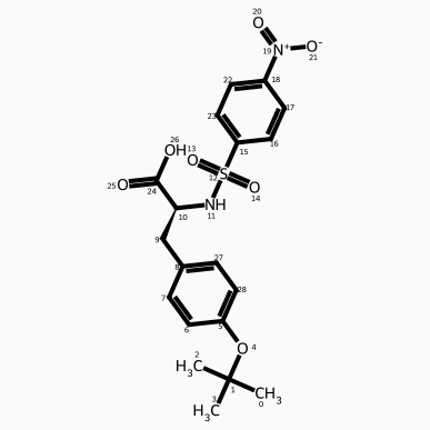 CC(C)(C)Oc1ccc(C[C@H](NS(=O)(=O)c2ccc([N+](=O)[O-])cc2)C(=O)O)cc1